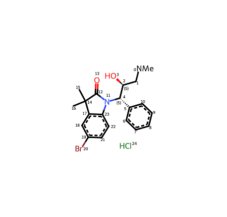 CNC[C@H](O)[C@H](c1ccccc1)N1C(=O)C(C)(C)c2cc(Br)ccc21.Cl